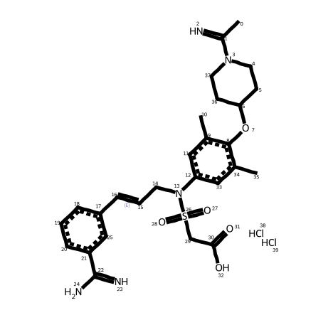 CC(=N)N1CCC(Oc2c(C)cc(N(C/C=C/c3cccc(C(=N)N)c3)S(=O)(=O)CC(=O)O)cc2C)CC1.Cl.Cl